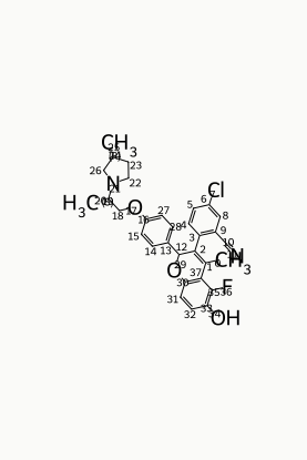 CC1=C(c2ccc(Cl)cc2C#N)C(c2ccc(OC[C@H](C)N3CC[C@@H](C)C3)cc2)Oc2ccc(O)c(F)c21